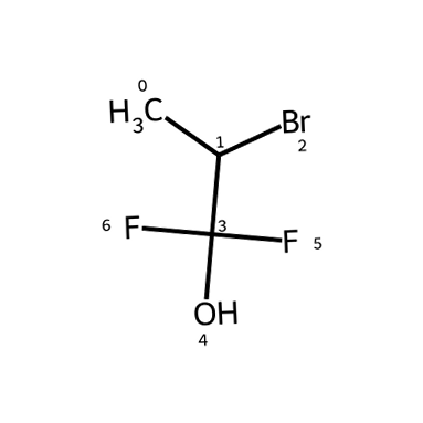 CC(Br)C(O)(F)F